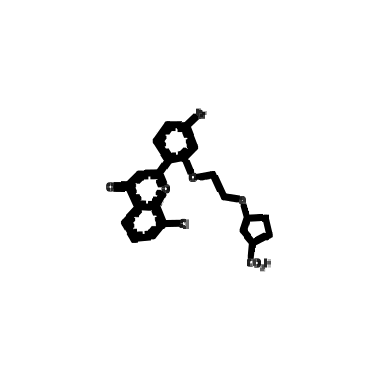 O=C(O)C1CCC(OCCOc2cc(Br)ccc2-c2cc(=O)c3cccc(Cl)c3o2)C1